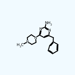 CN1CCN(c2cc(Cc3ccccc3)nc(N)n2)CC1